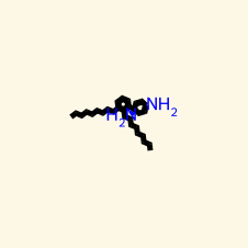 CCCCCCCCCc1cccc(C2(N)C=CC(N)=CC2)c1CCCCCCCCC